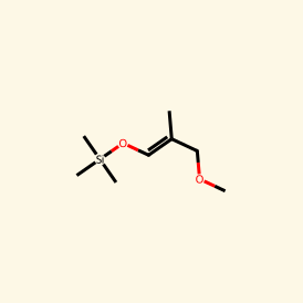 COCC(C)=CO[Si](C)(C)C